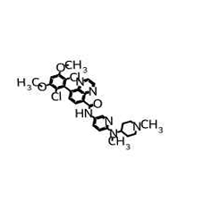 COc1cc(OC)c(Cl)c(-c2ccc(C(=O)Nc3ccc(N(C)C4CCN(C)CC4)nc3)c3nccnc23)c1Cl